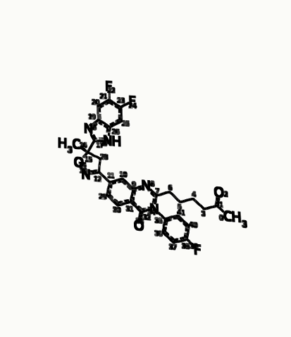 CC(=O)CCCCc1nc2cc(C3=NO[C@](C)(c4nc5cc(F)c(F)cc5[nH]4)C3)ccc2c(=O)n1-c1ccc(F)cc1